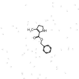 CC1=C(C(=O)OCc2ccccc2)NCC1